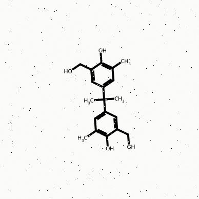 Cc1cc(C(C)(C)c2cc(C)c(O)c(CO)c2)cc(CO)c1O